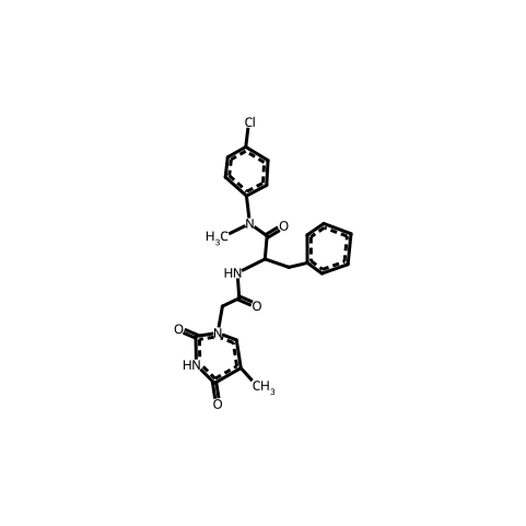 Cc1cn(CC(=O)NC(Cc2ccccc2)C(=O)N(C)c2ccc(Cl)cc2)c(=O)[nH]c1=O